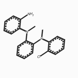 CN(c1ccccc1N)c1ccccc1N(C)c1ccccc1Cl